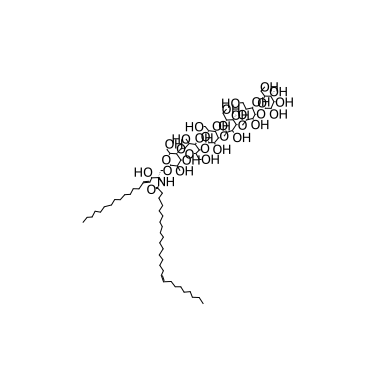 CCCCCCCC/C=C\CCCCCCCCCCCCCCCC(=O)N[C@@H](CO[C@@H]1OC(CO)[C@@H](O[C@@H]2OC(CO)[C@H](O[C@@H]3OC(CO)[C@H](O)[C@H](O[C@H]4OC(CO)[C@H](O)[C@H](O[C@H]5OC(CO)[C@H](O)[C@H](O[C@H]6OC(CO)[C@H](O)[C@H](O)C6O)C5O)C4O)C3O)[C@H](O)C2O)[C@H](O)C1O)[C@H](O)/C=C/CCCCCCCCCCCCC